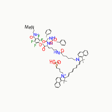 CNCCNC(=O)c1c(F)c(F)c(OCC(=O)[C@H](CCCCNC(=O)CCCCCN2\C(=C/C=C/C=C/C=C/C3=[N+](CCCCS(=O)O)c4ccc5ccccc5c4C3(C)C)C(C)(C)c3c2ccc2ccccc32)NC(=O)[C@H](Cc2ccccc2)NC(=O)OCc2ccccc2)c(F)c1F